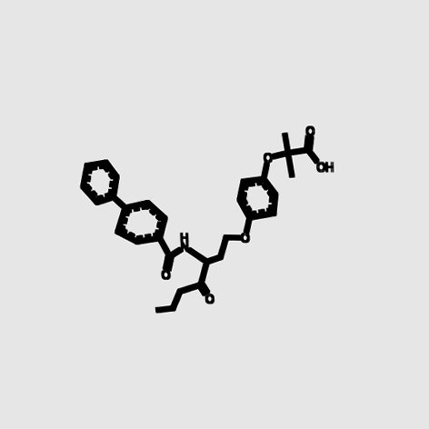 CCCC(=O)C(CCOc1ccc(OC(C)(C)C(=O)O)cc1)NC(=O)c1ccc(-c2ccccc2)cc1